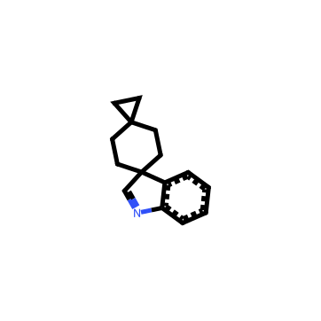 C1=Nc2ccccc2C12CCC1(CC1)CC2